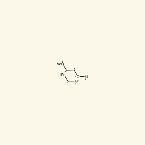 CC(=O)CC(C)C.CCOCCOC(C)=O